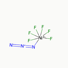 [N-]=[N+]=[N][Ni-3]([F])([F])([F])([F])([F])[F]